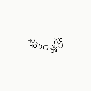 CC(C)Oc1c(Cl)cccc1-c1noc(-c2ccc(OCC(O)CO)cc2)n1